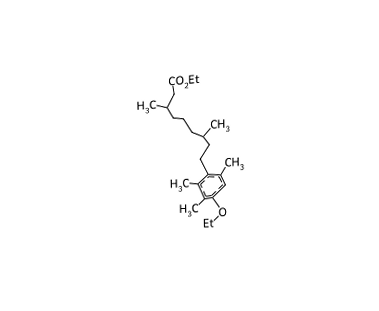 CCOC(=O)CC(C)CCCC(C)CCc1c(C)cc(OCC)c(C)c1C